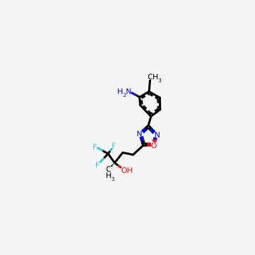 Cc1ccc(-c2noc(CC[C@@](C)(O)C(F)(F)F)n2)cc1N